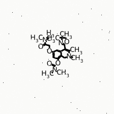 CC1=C(C2=NC(C)(C)CO2)c2cc(OCC(=O)N(C)C)cc(OC(=O)N(C)C)c2CN1C